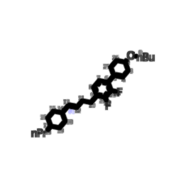 CCCCOC1CC=C(c2ccc(CC/C=C/C3CCC(CCC)CC3)c(F)c2F)CC1